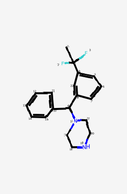 CC(F)(F)c1cccc(C(c2ccccc2)N2CCNCC2)c1